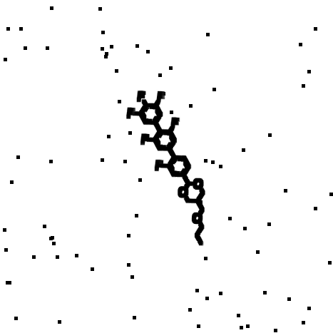 CCCOCC1COC(c2ccc(-c3cc(F)c(-c4cc(F)c(F)c(F)c4)c(F)c3)c(F)c2)OC1